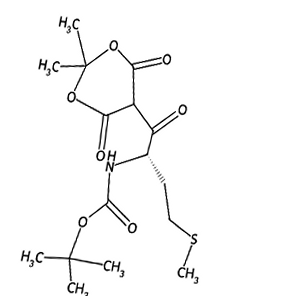 CSCC[C@H](NC(=O)OC(C)(C)C)C(=O)C1C(=O)OC(C)(C)OC1=O